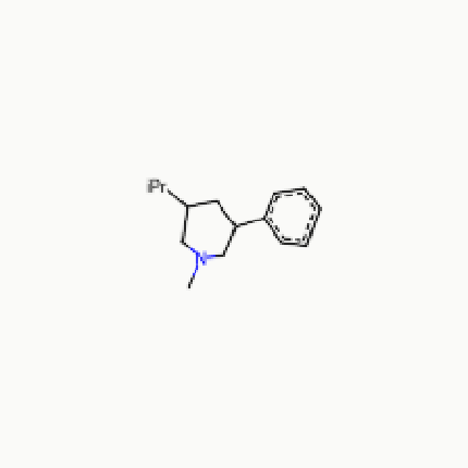 CC(C)C1CC(c2ccccc2)CN(C)C1